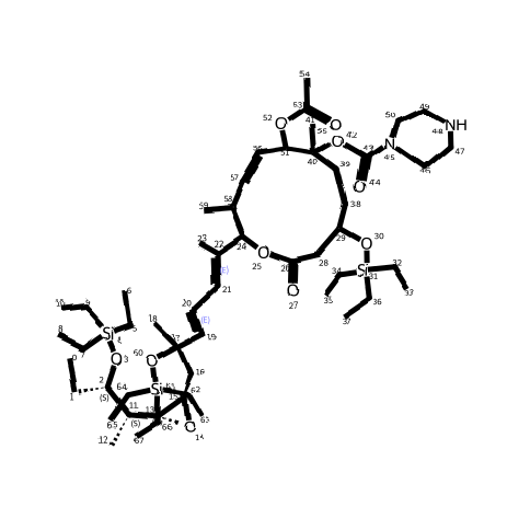 CC[C@H](O[Si](CC)(CC)CC)[C@@H](C)[C@H]1O[C@@H]1CC(C)(/C=C/C=C(\C)C1OC(=O)CC(O[Si](CC)(CC)CC)CCC(C)(OC(=O)N2CCNCC2)C(OC(C)=O)C=CC1C)O[Si](CC)(CC)CC